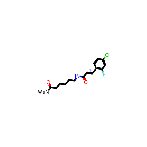 CNC(=O)CCCCCNC(=O)/C=C/c1ccc(Cl)cc1F